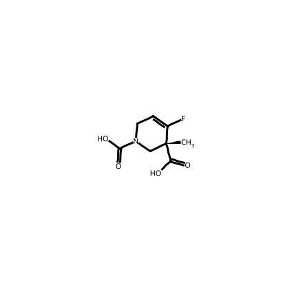 C[C@@]1(C(=O)O)CN(C(=O)O)CC=C1F